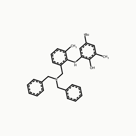 Cc1cc(C(C)(C)C)cc(Pc2c(C)cccc2CN(Cc2ccccc2)Cc2ccccc2)c1O